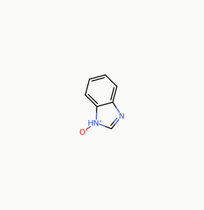 [O-][NH+]1C=Nc2ccccc21